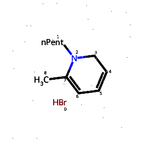 Br.CCCCCN1CC=CC=C1C